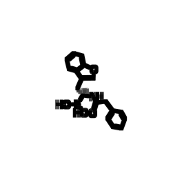 O=C(Cc1ccccc1)N[C@@H](Cc1coc2ccccc12)B(O)O